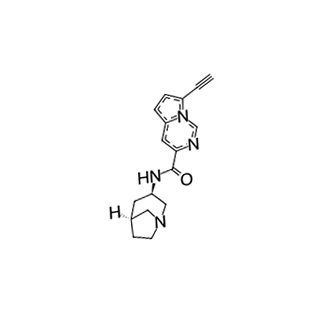 C#Cc1ccc2cc(C(=O)N[C@@H]3C[C@@H]4CCN(C4)C3)ncn12